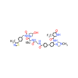 Cc1ncsc1-c1ccc(CNC(=O)[C@@H]2C[C@@H](O)CN2C(=O)[C@@H](NC(=O)CCNC(=O)c2ccc(-c3ccc(N4CCN(C)CC4)c(NC(=O)c4c[nH]c(=O)cc4C(F)(F)F)c3)cc2)C(C)(C)C)cc1